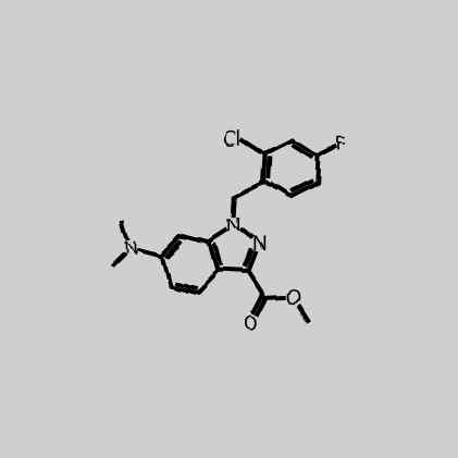 COC(=O)c1nn(Cc2ccc(F)cc2Cl)c2cc(N(C)C)ccc12